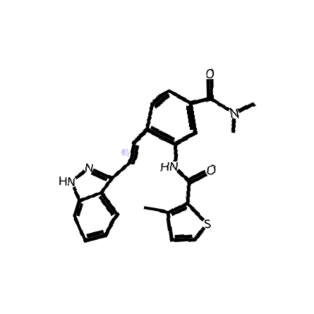 Cc1ccsc1C(=O)Nc1cc(C(=O)N(C)C)ccc1/C=C/c1n[nH]c2ccccc12